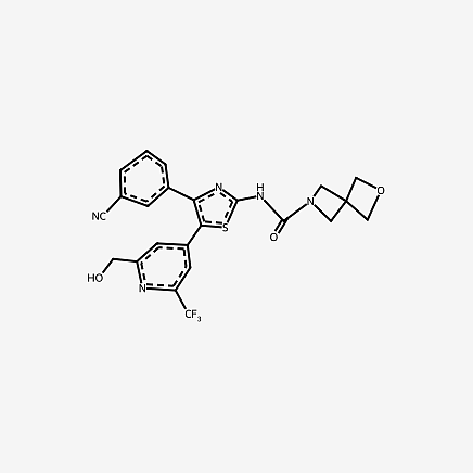 N#Cc1cccc(-c2nc(NC(=O)N3CC4(COC4)C3)sc2-c2cc(CO)nc(C(F)(F)F)c2)c1